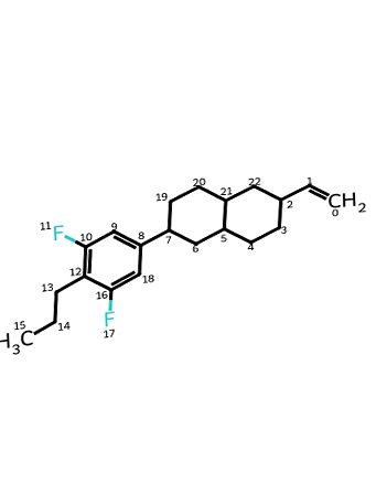 C=CC1CCC2CC(c3cc(F)c(CCC)c(F)c3)CCC2C1